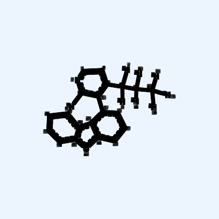 [2H]c1nccc(C([2H])([2H])C([2H])([2H])C([2H])([2H])[2H])c1-c1cccc2oc3ccccc3c12